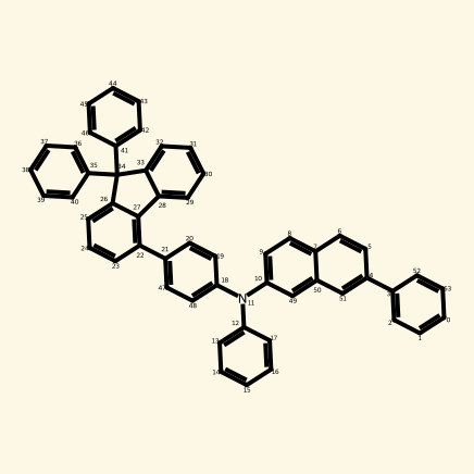 c1ccc(-c2ccc3ccc(N(c4ccccc4)c4ccc(-c5cccc6c5-c5ccccc5C6(c5ccccc5)c5ccccc5)cc4)cc3c2)cc1